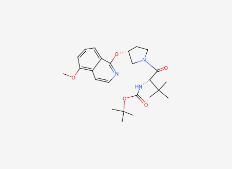 COc1cccc2c(O[C@@H]3CCN(C(=O)[C@@H](NC(=O)OC(C)(C)C)C(C)(C)C)C3)nccc12